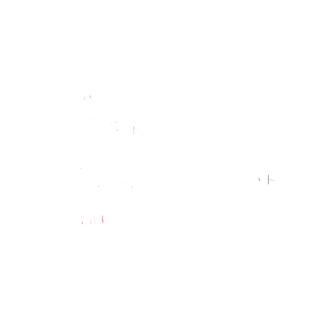 CCCCCCCCC1(C(=O)O)C=CC=CC1C(=O)O